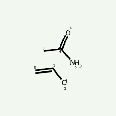 C=CCl.CC(N)=O